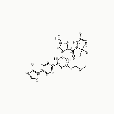 COCCOC[C@H](NC(O)[C@@H]1C[C@@H](O)CN1C(=O)[C@@H](NC(C)=O)C(C)(C)C)c1ccc(-c2scnc2C)cc1